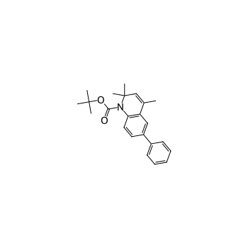 CC1=CC(C)(C)N(C(=O)OC(C)(C)C)c2ccc(-c3ccccc3)cc21